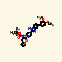 COc1ccc(-c2ccc3[nH]c(C4CCN(C(=O)C(Cc5cccs5)NC(=O)OC(C)(C)C)CC4)nc3c2)cc1OC